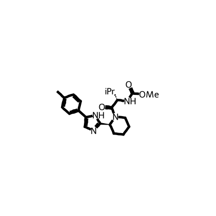 COC(=O)N[C@H](C(=O)N1CCCC[C@H]1c1ncc(-c2ccc(C)cc2)[nH]1)C(C)C